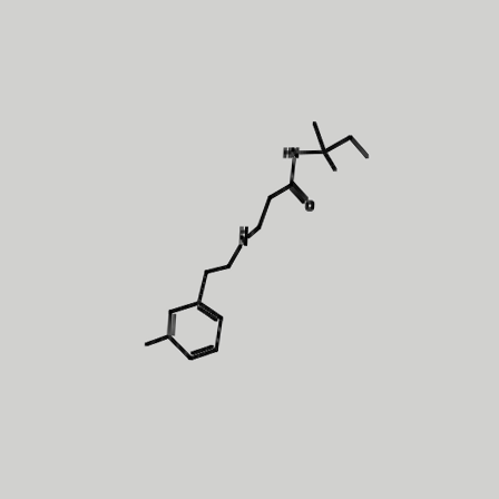 CCC(C)(C)NC(=O)CCNCCc1cccc(C)c1